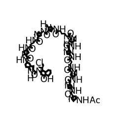 CC(=O)Nc1cc(C(=O)Nc2cn(C)c(C(=O)Nc3cc(C(=O)NCCC(=O)Nc4cn(C)c(C(=O)Nc5cc(C(=O)NCCCC(=O)Nc6cc(C(=O)Nc7cc(C(=O)NCCC(=O)Nc8cc(C(=O)Nc9ccc%10[nH]c(C(=O)N%11CC(CCl)c%12c%11cc(O)c%11ccccc%12%11)cc%10c9)n(C)c8)n(C)c7)n(C)c6)n(C)c5)n4)n(C)c3)n2)n(C)c1